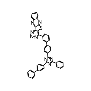 c1ccc(-c2ccc(-c3nc(-c4ccccc4)nc(-c4ccc(-c5cccc(-c6nnnc7c6sc6nc8ccccc8nc67)c5)cc4)n3)cc2)cc1